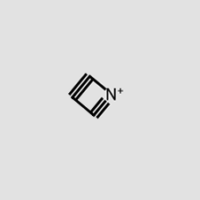 C1#C[N+]#C1